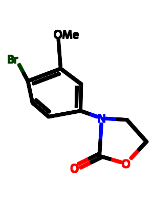 COc1cc(N2CCOC2=O)ccc1Br